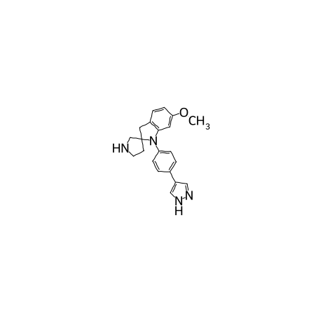 COc1ccc2c(c1)N(c1ccc(-c3cn[nH]c3)cc1)C1(CCNC1)C2